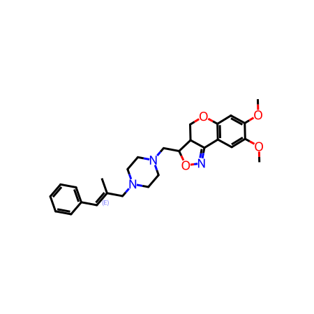 COc1cc2c(cc1OC)C1=NOC(CN3CCN(C/C(C)=C/c4ccccc4)CC3)C1CO2